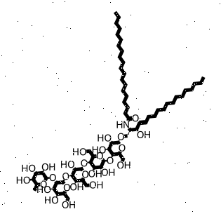 CCCCCCCCCCCCC/C=C/[C@@H](O)[C@H](CO[C@@H]1OC(CO)[C@@H](O[C@@H]2OC(CO)[C@H](O[C@@H]3OC(CO)[C@H](O)[C@H](O[C@H]4OC(CO)[C@H](O)[C@H](O)C4O[C@H]4OC(C)[C@@H](O)C(O)[C@@H]4O)C3O)[C@H](O)C2O)[C@H](O)C1O)NC(=O)CCCCCCCCCCCCCCCCCCC